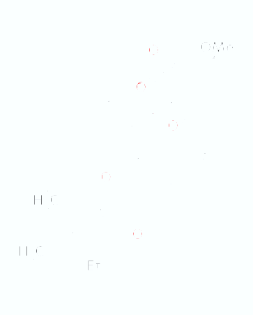 CCC(C)(C)C(=O)OC12CC3CC(C(=O)OC)(CC(C1)C(=O)O3)C2